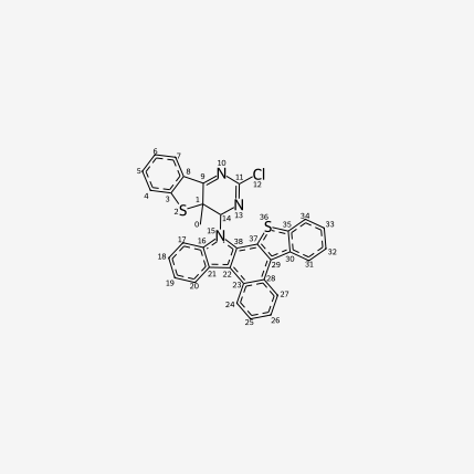 CC12Sc3ccccc3C1=NC(Cl)=NC2n1c2ccccc2c2c3ccccc3c3c4ccccc4sc3c21